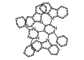 c1ccc(-c2nc(-c3ccccc3)nc(-c3c(-n4c5ccccc5c5ccccc54)c(-c4ccccc4)nc(-n4c5ccccc5c5ccccc54)c3-n3c4ccccc4c4ccccc43)n2)cc1